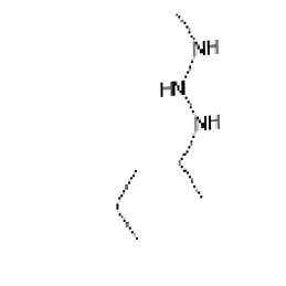 CNNNC(C)CC(C)C